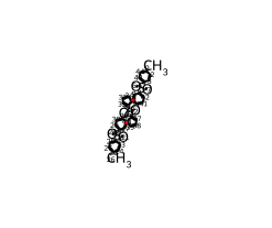 Cc1ccc(S(=O)(=O)c2ccc([O][Zr]([O]c3ccc(S(=O)(=O)c4ccc(C)cc4)cc3)([C]3=CC=CC3)[C]3=CC=CC3)cc2)cc1